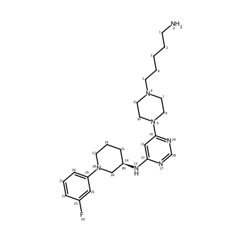 NCCCCCN1CCN(c2cc(N[C@@H]3CCCN(c4cccc(F)c4)C3)ncn2)CC1